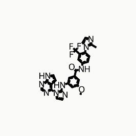 COc1cc(Nc2nccn2-c2ncnc3[nH]ccc23)cc(C(=O)Nc2ccc(-n3ccnc3C)c(C(F)(F)F)c2)c1